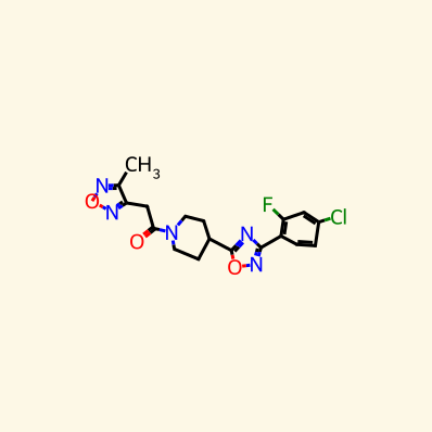 Cc1nonc1CC(=O)N1CCC(c2nc(-c3ccc(Cl)cc3F)no2)CC1